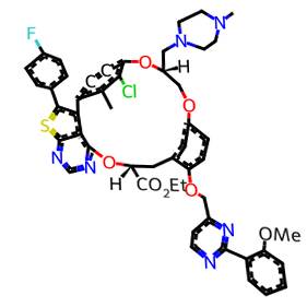 CCOC(=O)[C@H]1Cc2cc(ccc2OCc2ccnc(-c3ccccc3OC)n2)OC[C@@H](CN2CCN(C)CC2)Oc2ccc(c(C)c2Cl)-c2c(-c3ccc(F)cc3)sc3ncnc(c23)O1